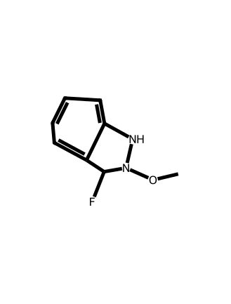 CON1Nc2ccccc2C1F